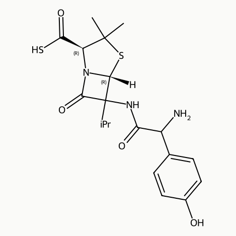 CC(C)C1(NC(=O)C(N)c2ccc(O)cc2)C(=O)N2[C@@H](C(=O)S)C(C)(C)S[C@@H]21